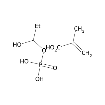 C=C(C)C(=O)O.CCC(O)OP(=O)(O)O